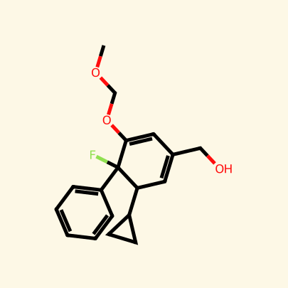 COCOC1=CC(CO)=CC(C2CC2)C1(F)c1ccccc1